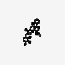 CCC(CCC(=O)NCC1=CC=C(F)C(=O)C1=O)n1c(-c2ccccc2)ncc(N)c1=O